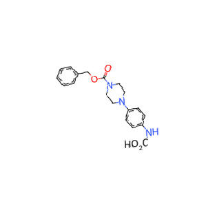 O=C(O)Nc1ccc(N2CCN(C(=O)OCc3ccccc3)CC2)cc1